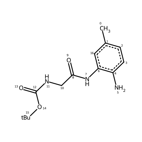 Cc1ccc(N)c(NC(=O)CNC(=O)OC(C)(C)C)c1